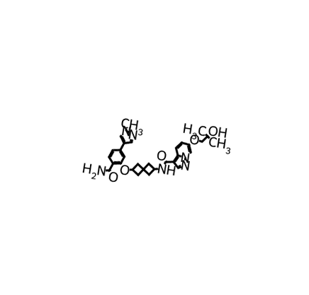 Cn1cc(-c2ccc(C(N)=O)c(OC3CC4(CC(NC(=O)c5cnn6cc(OCC(C)(C)O)ccc56)C4)C3)c2)cn1